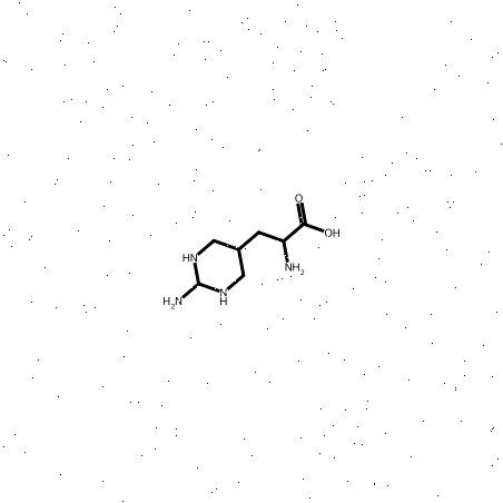 NC1NCC(CC(N)C(=O)O)CN1